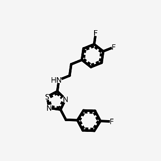 Fc1ccc(Cc2nsc(NCCc3ccc(F)c(F)c3)n2)cc1